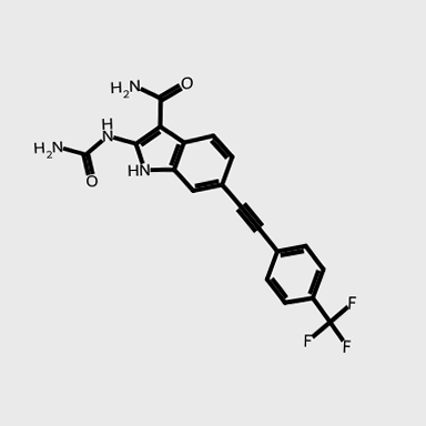 NC(=O)Nc1[nH]c2cc(C#Cc3ccc(C(F)(F)F)cc3)ccc2c1C(N)=O